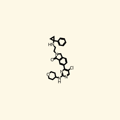 O=C1c2cc(-c3nc(NC4CCOCC4)ncc3Cl)ccc2CN1CCNC1(c2ccccc2)CC1